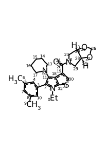 CCn1c(-c2cc(C)cc(C)c2)c(N2CCCCC2)c2c(C(=O)N3C[C@@H]4OCO[C@@H]4C3)csc21